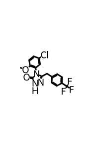 COc1ccc(Cl)cc1-n1c(Cc2ccc(C(F)(F)F)cc2)n[nH]c1=O